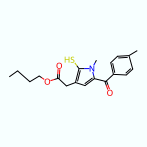 CCCCOC(=O)Cc1cc(C(=O)c2ccc(C)cc2)n(C)c1S